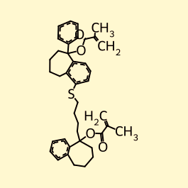 C=C(C)C(=O)OC1(CCCCSc2cccc3c2CCCCC3(OC(=O)C(=C)C)c2ccccc2)CCCCc2ccccc21